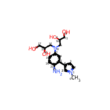 Cn1ccc(-c2cc(N(CC(O)CO)CC(O)CO)ccc2N)c1